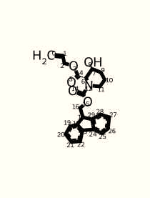 C=CCOC(=O)[C@@H]1[C@H](O)CCCN1C(=O)OCC1c2ccccc2-c2ccccc21